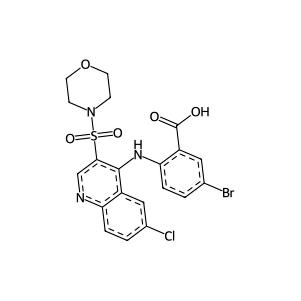 O=C(O)c1cc(Br)ccc1Nc1c(S(=O)(=O)N2CCOCC2)cnc2ccc(Cl)cc12